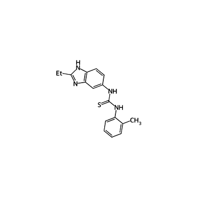 CCc1nc2cc(NC(=S)Nc3ccccc3C)ccc2[nH]1